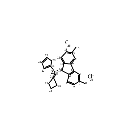 Cc1ccc2c(c1)-c1cc(C)ccc1[CH]2[Zr+2]([C]1=CC=CC1)=[C]1CCC1.[Cl-].[Cl-]